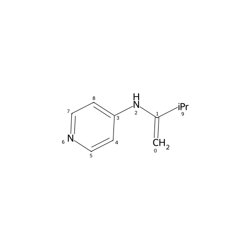 C=C(Nc1ccncc1)C(C)C